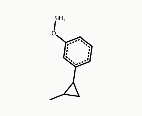 CC1CC1c1cccc(O[SiH3])c1